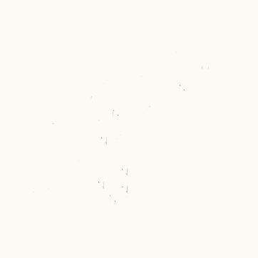 CCOC(=O)Nc1ccc(C(=O)N[C@@H](Cc2ccccc2)c2ccc(-c3cc(Cl)ccc3-n3cnnn3)c[n+]2[O-])cc1